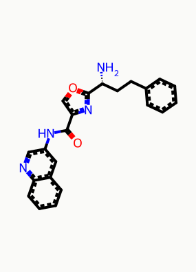 N[C@H](CCc1ccccc1)c1nc(C(=O)Nc2cnc3ccccc3c2)co1